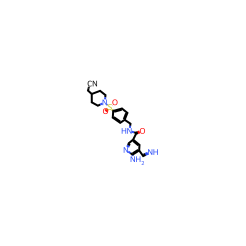 N#CCC1CCN(S(=O)(=O)c2ccc(CNC(=O)c3cnc(N)c(C=N)c3)cc2)CC1